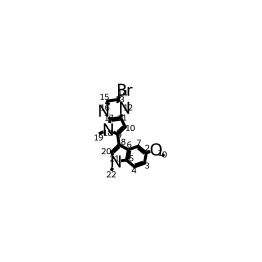 COc1ccc2c(c1)c(-c1cc3nc(Br)cnc3n1C)cn2C